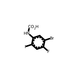 O=C(O)Nc1cc(Br)c(F)cc1I